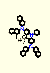 CC1(C)c2cc(N(c3ccc4ccccc4c3)c3ccc4ccccc4c3)ccc2N(c2ccccc2)c2ccc(N(c3ccc4ccccc4c3)c3ccc4ccccc4c3)cc21